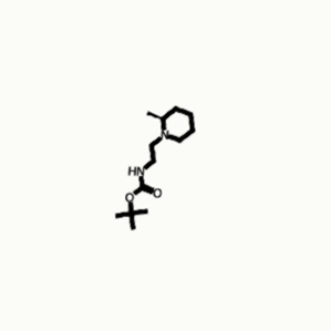 C[C@H]1CCCCN1CCNC(=O)OC(C)(C)C